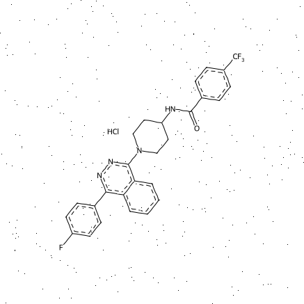 Cl.O=C(NC1CCN(c2nnc(-c3ccc(F)cc3)c3ccccc23)CC1)c1ccc(C(F)(F)F)cc1